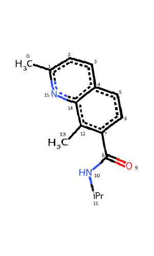 Cc1ccc2ccc(C(=O)NC(C)C)c(C)c2n1